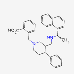 C[C@@H](NCC1CN(Cc2ccccc2C(=O)O)CCC1c1ccccc1)c1cccc2ccccc12